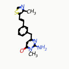 Cc1ncsc1/C=C/c1cccc(Cc2cc(=O)n(C)c(N)n2)c1